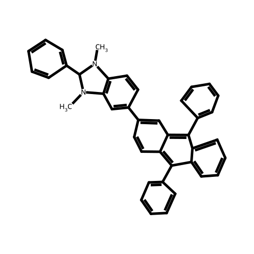 CN1c2ccc(-c3ccc4c(-c5ccccc5)c5ccccc5c(-c5ccccc5)c4c3)cc2N(C)C1c1ccccc1